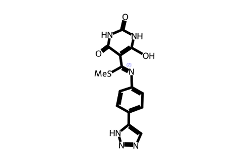 CS/C(=N\c1ccc(-c2cnn[nH]2)cc1)c1c(O)[nH]c(=O)[nH]c1=O